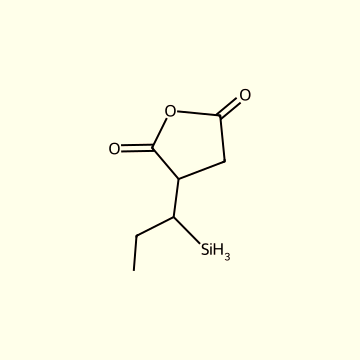 CCC([SiH3])C1CC(=O)OC1=O